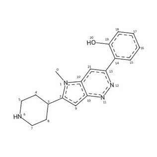 Cn1c(C2CCNCC2)cc2nnc(-c3ccccc3O)cc21